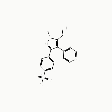 Cn1nc(-c2ccc(S(N)(=O)=O)cc2)c(-c2ccncc2)c1CO